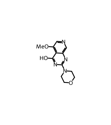 COc1cncc2nc(N3CCOCC3)nc(O)c12